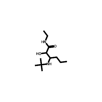 CCCC(NC(C)(C)C)C(O)C(=O)NCC